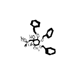 C[C@@H]1O[C@](O)(CP(=O)(O)O)[C@@H](OCc2ccccc2)[C@H](OCc2ccccc2)[C@@H]1OCc1ccccc1